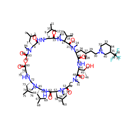 CC(C)C[C@@H]1C(=O)N[C@H](CC(C)C)C(=O)N(C)C(C(C)C)C(=O)N(C)C(C[C@H](C)CCN2CCCC(C(F)(F)F)C2)C(=O)NC([C@@H](C)O)C(=O)N(C)CC(=O)N(C)[C@@H](CC(C)C)C(=O)N[C@H](CC(C)C)N(C)[C@H](CC(C)C)N[C@H](C)C(=O)OC(=O)N1C